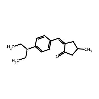 CCN(CC)c1ccc(C=C2CC(C)CC2=O)cc1